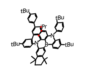 CC(C)c1cc2c3c(c1)N(c1ccc(C(C)(C)C)cc1-c1cccc(-c4ccc(C(C)(C)C)cc4)c1)c1cc4c(cc1B3c1ccc(C(C)(C)C)cc1N2c1cccc(C(C)(C)C)c1)C(C)(C)CCC4(C)C